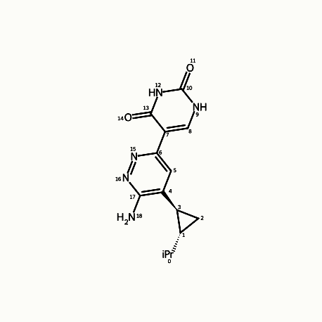 CC(C)[C@H]1C[C@@H]1c1cc(-c2c[nH]c(=O)[nH]c2=O)nnc1N